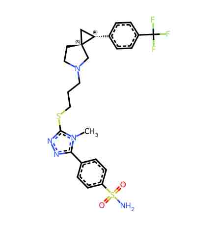 Cn1c(SCCCN2CC[C@]3(C[C@@H]3c3ccc(C(F)(F)F)cc3)C2)nnc1-c1ccc(S(N)(=O)=O)cc1